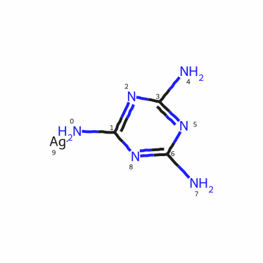 Nc1nc(N)nc(N)n1.[Ag]